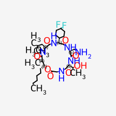 CCCCCC[C@H]1OC(=O)CNC(=O)[C@H](C(C)O)NC(=O)[C@H](CN)NC(=O)[C@H](C2CCC(F)(F)CC2)NC(=O)[C@H](CC(C)C)N(C)C(=O)[C@@H]1C